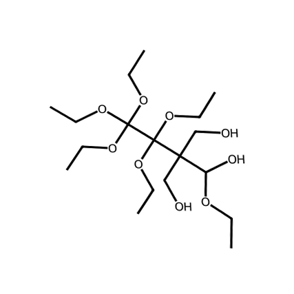 CCOC(O)C(CO)(CO)C(OCC)(OCC)C(OCC)(OCC)OCC